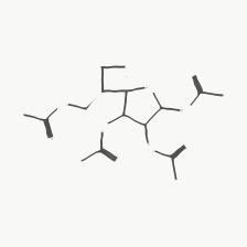 CC(=O)OC[C@H]1CC[C@@]12OC(OC(C)=O)C(OC(C)=O)C2OC(C)=O